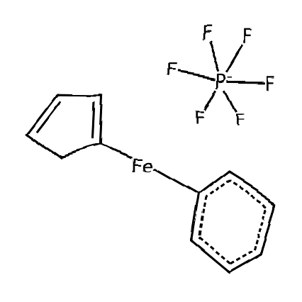 C1=CC[C]([Fe][c]2ccccc2)=C1.F[P-](F)(F)(F)(F)F